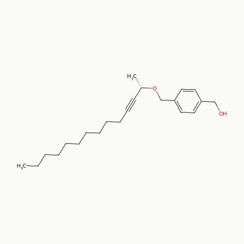 CCCCCCCCCCC#C[C@H](C)OCc1ccc(CO)cc1